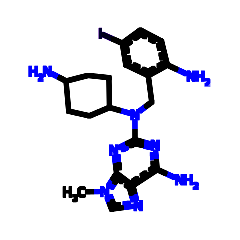 Cn1cnc2c(N)nc(N(Cc3cc(I)ccc3N)C3CCC(N)CC3)nc21